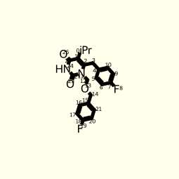 CC(C)c1c(Cc2ccc(F)cc2)n(COCc2ccc(F)cc2)c(=O)[nH]c1=O